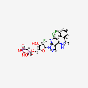 C[C@@H](Nc1cc(Cl)nc2c1cnn2[C@@H]1O[C@H](COP(=O)(O)CP(=O)(O)O)[C@@H](O)[C@@H]1F)c1cccc(F)c1